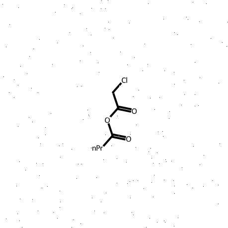 CC[CH]C(=O)OC(=O)CCl